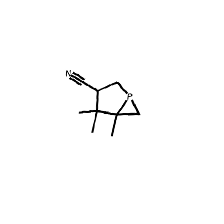 CC1(C)C(C#N)CP2CC21C